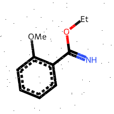 CCOC(=N)c1ccccc1OC